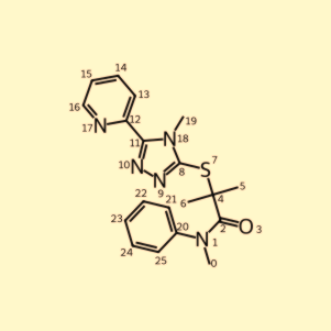 CN(C(=O)C(C)(C)Sc1nnc(-c2ccccn2)n1C)c1ccccc1